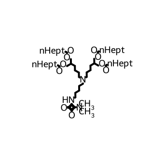 CCCCCCCC(=O)OCC(CCCCN(CCCCCNc1c(N(C)C)c(=O)c1=O)CCCCC(COC(=O)CCCCCCC)COC(=O)CCCCCCC)COC(=O)CCCCCCC